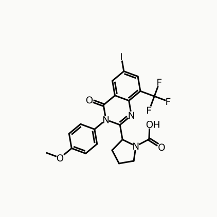 COc1ccc(-n2c(C3CCCN3C(=O)O)nc3c(C(F)(F)F)cc(I)cc3c2=O)cc1